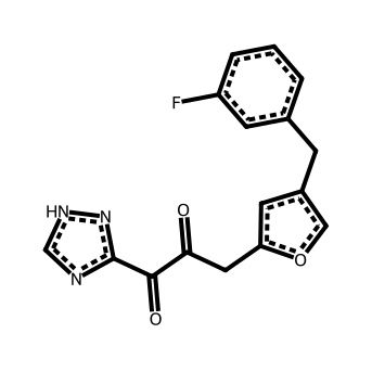 O=C(Cc1cc(Cc2cccc(F)c2)co1)C(=O)c1nc[nH]n1